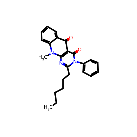 CCCCCCc1nc2c(c(=O)c3ccccc3n2C)c(=O)n1-c1ccccc1